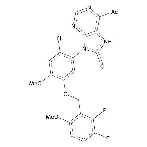 COc1cc(Cl)c(-n2c(=O)[nH]c3c(C(C)=O)ncnc32)cc1OCc1c(OC)ccc(F)c1F